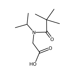 CC(C)N(CC(=O)O)C(=O)C(C)(C)C